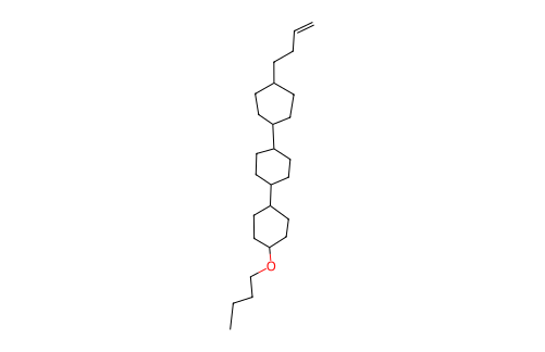 C=CCCC1CCC(C2CCC(C3CCC(OCCCC)CC3)CC2)CC1